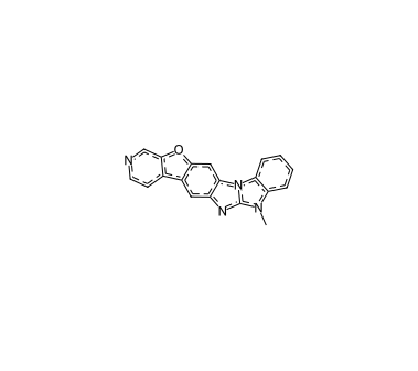 Cn1c2ccccc2n2c3cc4oc5cnccc5c4cc3nc12